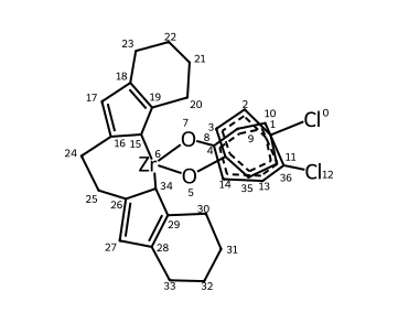 Clc1ccc([O][Zr]2([O]c3ccc(Cl)cc3)[CH]3C(=CC4=C3CCCC4)CCC3=CC4=C(CCCC4)[CH]32)cc1